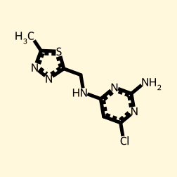 Cc1nnc(CNc2cc(Cl)nc(N)n2)s1